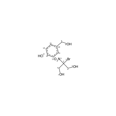 Cl.O=[N+]([O-])C(Br)(CO)CO.OCc1ccccc1